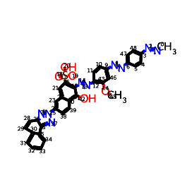 CN=Nc1ccc(N=Nc2ccc(N=Nc3c(S(=O)(=O)O)cc4cc(-n5nc6ccc7ccccc7c6n5)ccc4c3O)c(OC)c2)cc1